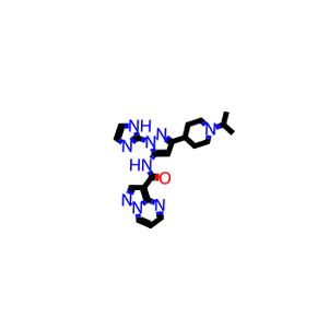 CC(C)N1CCC(c2cc(NC(=O)c3cnn4cccnc34)n(-c3ncc[nH]3)n2)CC1